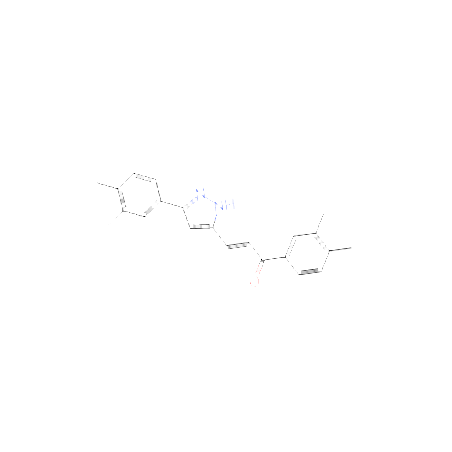 Cc1ccc(C(=O)C=Cc2cc(-c3ccc(C)c(C)c3)n[nH]2)cc1C